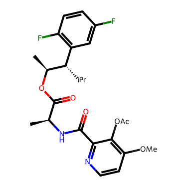 COc1ccnc(C(=O)N[C@@H](C)C(=O)O[C@@H](C)[C@H](c2cc(F)ccc2F)C(C)C)c1OC(C)=O